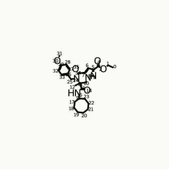 CCOC(=O)c1cc2n(n1)CC(C)(C(=O)NC1CCCCCCC1)N(Cc1ccc(OC)cc1)C2=O